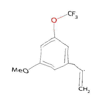 C=[C]c1cc(OC)cc(OC(F)(F)F)c1